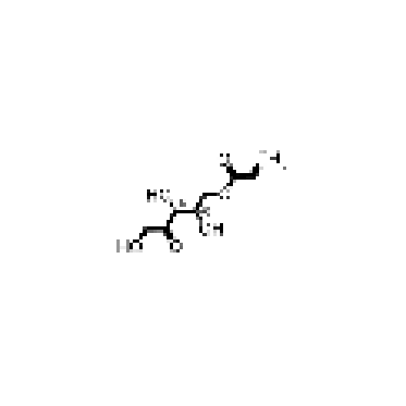 C=CC(=O)OC[C@@H](O)[C@H](O)C(=O)CO